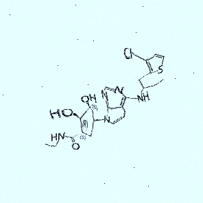 CCNC(=O)[C@H]1CC(n2ccc3c(NC(CC)Cc4sccc4Cl)ncnc32)[C@H](O)[C@@H]1O